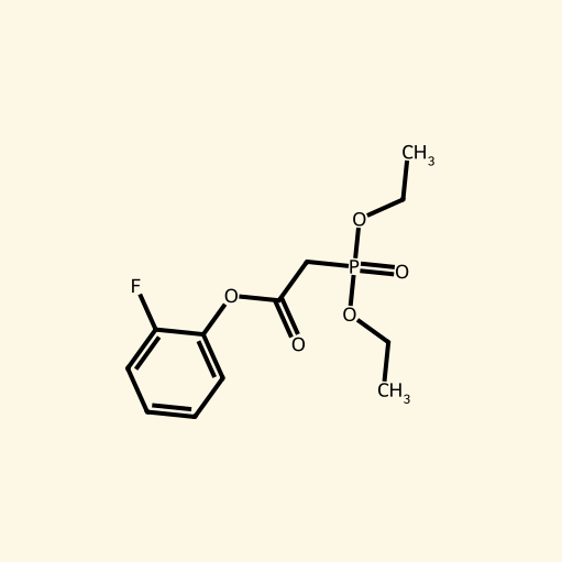 CCOP(=O)(CC(=O)Oc1ccccc1F)OCC